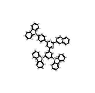 c1ccc2cc(-c3nc(-c4ccc(-n5c6ccccc6c6ccccc65)cc4)cc(-c4cc(-n5c6ccccc6c6ccccc65)cc(-n5c6ccccc6c6ccccc65)c4)n3)ccc2c1